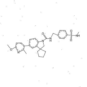 CNS(=O)(=O)c1ccc(CNC(=O)N2CC3(CCCC3)c3cc(-c4ccc(OC)nc4C)ccc32)cc1